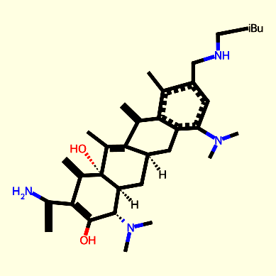 C=C(N)C1=C(O)[C@@H](N(C)C)[C@@H]2C[C@@H]3Cc4c(N(C)C)cc(CNCC(C)CC)c(C)c4C(=C)C3=C(C)[C@]2(O)C1=C